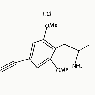 C#Cc1cc(OC)c(CC(C)N)c(OC)c1.Cl